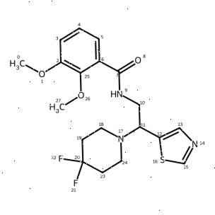 COc1cccc(C(=O)NCC(c2cncs2)N2CCC(F)(F)CC2)c1OC